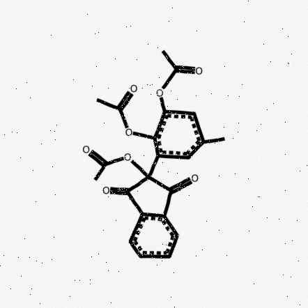 CC(=O)Oc1cc(C)cc(C2(OC(C)=O)C(=O)c3ccccc3C2=O)c1OC(C)=O